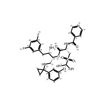 CCCC(CCC)S(=O)(=O)C[C@@H](NC(=O)c1ccncc1)C(=O)O[C@H](CNC1(c2cccc(CC)c2)CC1)[C@@H](N)Cc1cc(F)cc(F)c1